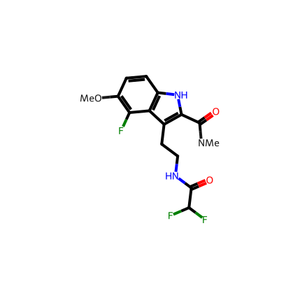 CNC(=O)c1[nH]c2ccc(OC)c(F)c2c1CCNC(=O)C(F)F